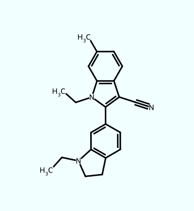 CCN1CCc2ccc(-c3c(C#N)c4ccc(C)cc4n3CC)cc21